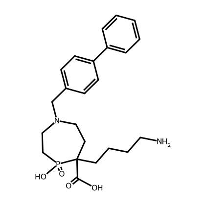 NCCCCC1(C(=O)O)CCN(Cc2ccc(-c3ccccc3)cc2)CCP1(=O)O